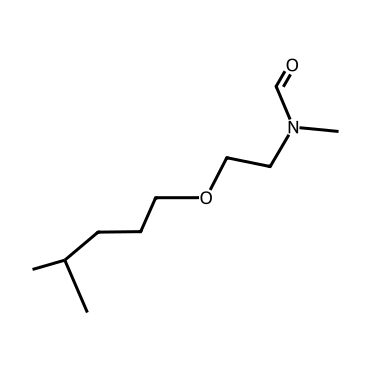 CC(C)CCCOCCN(C)C=O